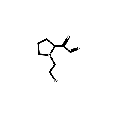 O=CC(=O)C1CCCN1CCBr